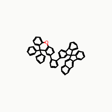 c1ccc(C2(c3ccccc3)c3ccccc3Oc3ccc(-c4ccccc4-c4ccc5c(c4)C4(c6ccccc6-5)c5ccccc5-c5cc6ccccc6cc54)cc32)cc1